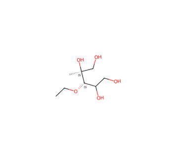 CCO[C@@H](C(O)CO)[C@@](C)(O)CO